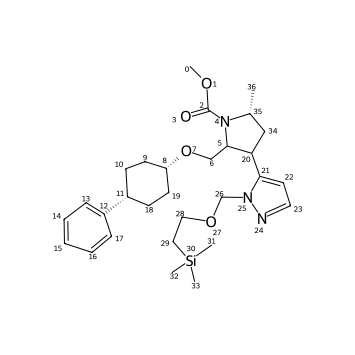 COC(=O)N1C(CO[C@H]2CC[C@@H](c3ccccc3)CC2)C(c2ccnn2COCC[Si](C)(C)C)C[C@H]1C